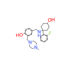 CN1CCN(Cc2cc(CNC3(c4ccccc4F)CCC(O)CC3)ccc2O)CC1